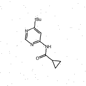 CC(C)(C)c1cc(NC(=O)C2CC2)ncn1